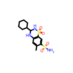 Cc1cc2c(cc1S(N)(=O)=O)S(=O)(=O)NC(C1CCCCC1)N2